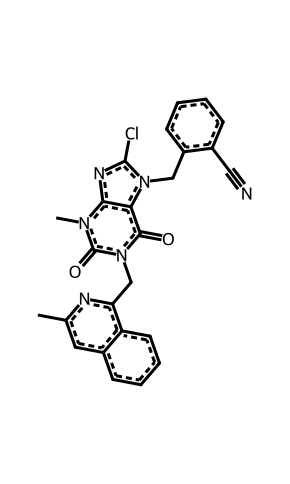 Cc1cc2ccccc2c(Cn2c(=O)c3c(nc(Cl)n3Cc3ccccc3C#N)n(C)c2=O)n1